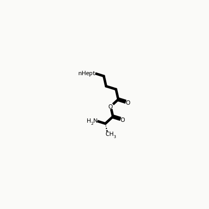 CCCCCCCCCCC(=O)OC(=O)[C@H](C)N